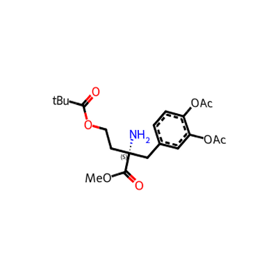 COC(=O)[C@@](N)(CCOC(=O)C(C)(C)C)Cc1ccc(OC(C)=O)c(OC(C)=O)c1